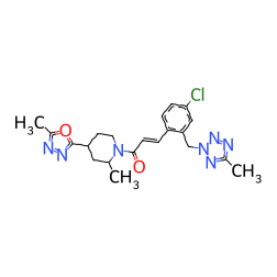 Cc1nnn(Cc2cc(Cl)ccc2C=CC(=O)N2CCC(c3nnc(C)o3)CC2C)n1